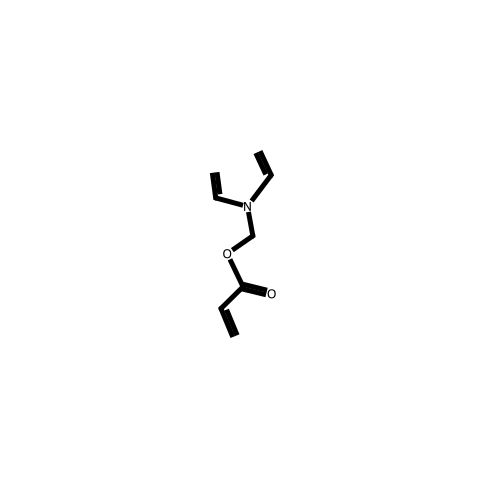 C=CC(=O)OCN(C=C)C=C